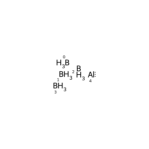 B.B.B.B.[Al]